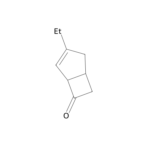 CCC1=CC2C(=O)CC2C1